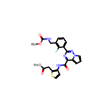 COC(=O)Cc1sccc1NC(=O)c1nc(-c2cccc(CNC(=O)OC(C)(C)C)c2F)nn2cccc12